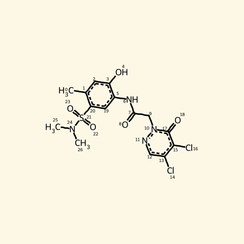 Cc1cc(O)c(NC(=O)Cn2ncc(Cl)c(Cl)c2=O)cc1S(=O)(=O)N(C)C